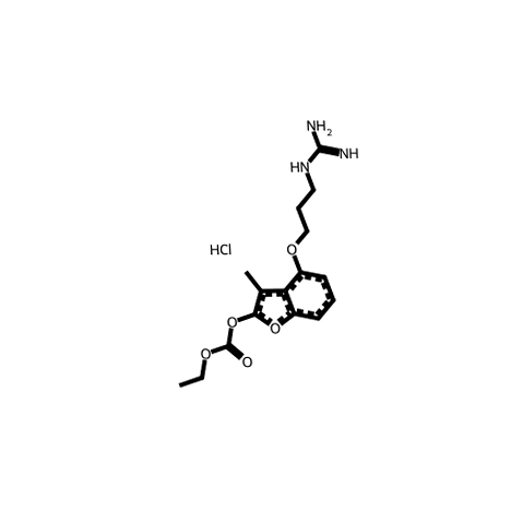 CCOC(=O)Oc1oc2cccc(OCCCNC(=N)N)c2c1C.Cl